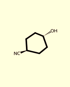 N#C[C@H]1CC[C@H](O)CC1